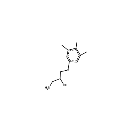 Cc1cc(OCC(O)CN)cc(C)c1C